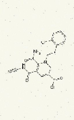 N#CNC(=O)C1=C(C(N)=O)N(CCc2ccccc2Cl)CC(C(=O)O)=C1